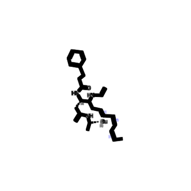 C=CNC(C/C=C/C=C\C=C/C)[C@H](CC(=C)NC(C)[C@@H](C)CC)NC(=O)CCc1ccccc1